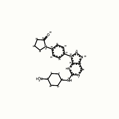 NC1CCC(Nc2ncc3nnn(-c4ccc(N5CCCC5=O)cc4)c3n2)CC1